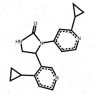 O=C1NCC(c2cnccc2C2CC2)N1c1ccnc(C2CC2)c1